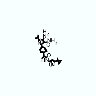 CC(C(=O)Nc1cc(C2(C)CC2)no1)c1ccc(-c2nn(C(C)C)c(N)c2C(N)=O)cc1